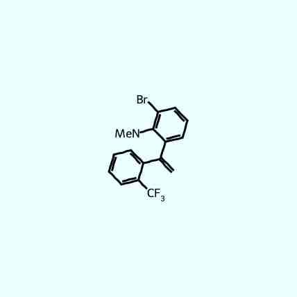 C=C(c1ccccc1C(F)(F)F)c1cccc(Br)c1NC